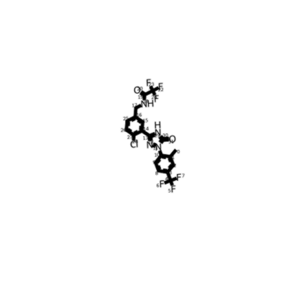 Cc1cc(C(F)(F)F)ccc1-n1nc(-c2cc(CNC(=O)C(F)(F)F)ccc2Cl)[nH]c1=O